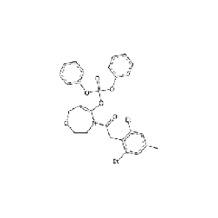 CCc1cc(C)cc(CC)c1CC(=O)N1CCOCC=C1OP(=O)(Oc1ccccc1)Oc1ccccc1